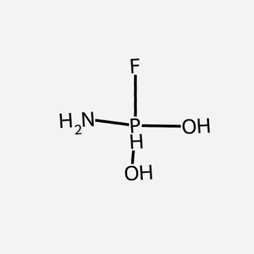 N[PH](O)(O)F